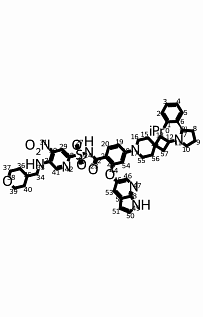 CC(C)c1ccccc1[C@H]1CCCN1C1CC2(CCN(c3ccc(C(=O)NS(=O)(=O)c4cc([N+](=O)[O-])c(NCC5CCOCC5)cn4)c(Oc4cnc5[nH]ccc5c4)c3)CC2)C1